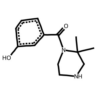 CC1(C)CNCCN1C(=O)c1cccc(O)c1